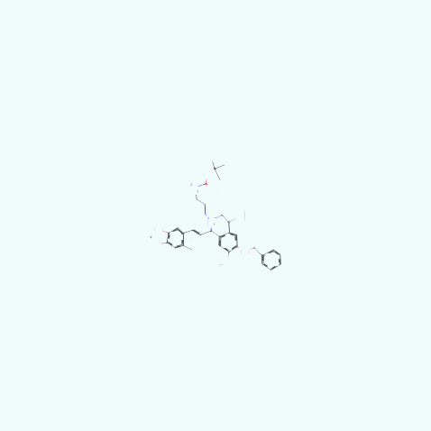 COc1cc2c(cc1OCc1ccccc1)C(Cl)CN(CCCN(C)C(=O)OC(C)(C)C)C2/C=C/c1cc2c(cc1C)OCO2